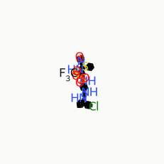 CC1(C)CCC(CNCCNc2ccc(C(=O)NS(=O)(=O)c3ccc(N[C@H](CCN4CCOCC4)CSc4ccccc4)c(S(=O)(=O)C(F)(F)F)c3)cc2)=C(c2ccc(Cl)cc2)C1